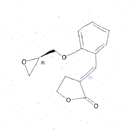 O=C1OCC/C1=C\c1ccccc1OC[C@H]1CO1